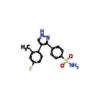 Cc1cc(F)ccc1-c1c[nH]nc1-c1ccc(S(N)(=O)=O)cc1